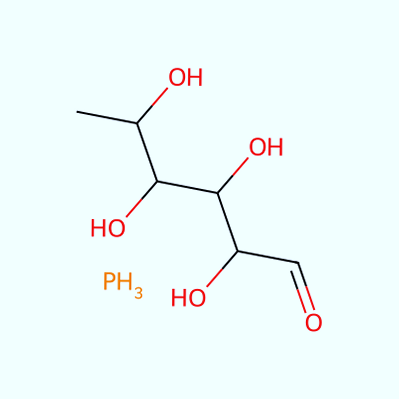 CC(O)C(O)C(O)C(O)C=O.P